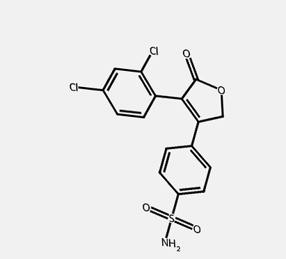 NS(=O)(=O)c1ccc(C2=C(c3ccc(Cl)cc3Cl)C(=O)OC2)cc1